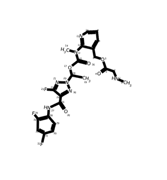 CNCC(=O)OCc1cccnc1N(C)C(=O)OC(C)n1nc(F)c(C(=O)Nc2ccc(F)cc2F)n1